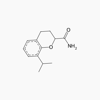 CC(C)c1cccc2c1OC(C(N)=O)CC2